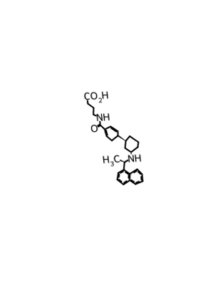 C[C@@H](N[C@H]1CCC[C@H](C2C=CC(C(=O)NCCCC(=O)O)=CC2)C1)c1cccc2ccccc12